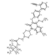 C=C(COC1CCC(n2c(=O)c(Cc3ccc(-c4ccccc4C#N)cc3)c(CCC)n3nc(C)nc23)CC1)O[Si](C)(C)C(C)(C)C